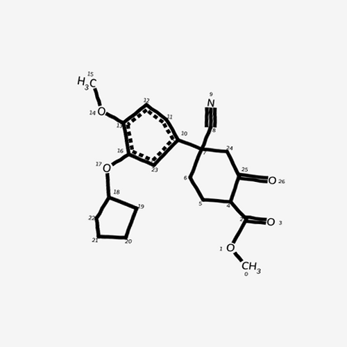 COC(=O)C1CCC(C#N)(c2ccc(OC)c(OC3CCCC3)c2)CC1=O